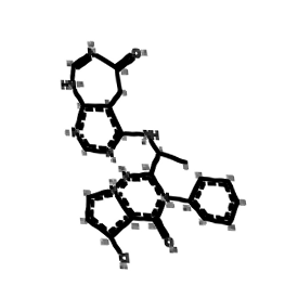 CC(Nc1ncnc2c1CC(=O)N=CN2)c1nn2ccc(Cl)c2c(=O)n1-c1ccccc1